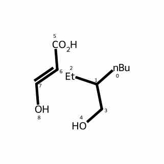 CCCCC(CC)CO.O=C(O)C=CO